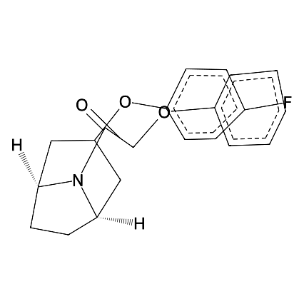 O=C(COc1ccccc1)N1[C@@H]2CC[C@H]1CC(Oc1ccc(F)cc1)C2